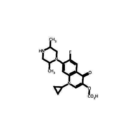 CC1CN(c2cc3c(cc2F)c(=O)c(OC(=O)O)cn3C2CC2)C(C)CN1